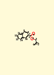 C=C(C)COC(=O)c1ccc2ccccc2c1